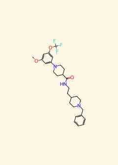 COc1cc(OC(F)(F)F)cc(N2CCC(C(=O)NCCC3CCN(Cc4ccccc4)CC3)CC2)c1